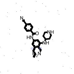 C=C/C=c1/cc(NC(=O)c2ccc(C#N)cc2)cc(NC2CCNCC2)/c1=C/N